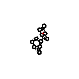 c1ccc(-c2ccccc2N(c2ccc(-c3cccc4c3oc3ccccc34)cc2)c2ccc3c(c2)c2ccccc2c2ccccc2c2ccccc2c2c3ccc3c4ccccc4oc32)cc1